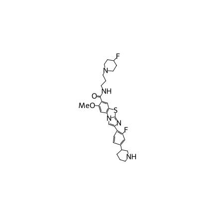 COc1cc2c(cc1C(=O)NCCCN1CCC(F)CC1)sc1nc(-c3ccc(C4CCCNC4)cc3F)cn12